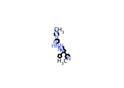 Cc1cc(-c2cc3cnc(Nc4ccc(N5CCN(C)CC5)cn4)nn3c2C2=CCCC2)ccn1